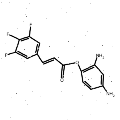 Nc1ccc(OC(=O)C=Cc2cc(F)c(F)c(F)c2)c(N)c1